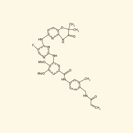 C=CC(=O)NCc1ccc(NC(=O)c2cc(Nc3ncc(F)c(Nc4ccc5c(n4)NC(=O)C(C)(C)O5)n3)c(OC)c(OC)c2)cc1C